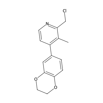 Cc1c(-c2ccc3c(c2)OCCO3)ccnc1CCl